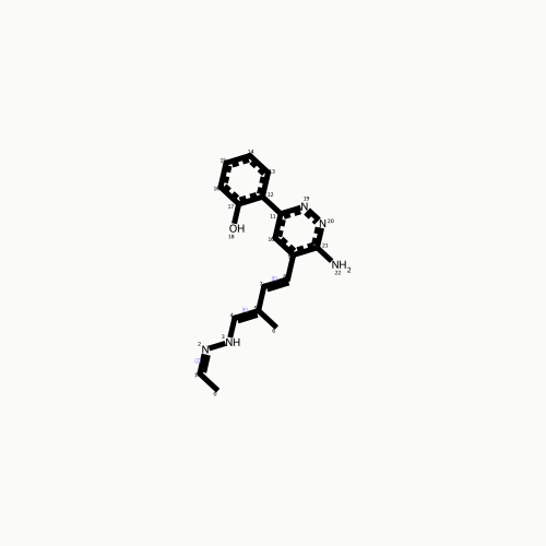 C/C=N\N/C=C(C)/C=C/c1cc(-c2ccccc2O)nnc1N